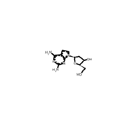 Nc1nc(N)c2ccn([C@H]3CC(O)[C@@H](CO)O3)c2n1